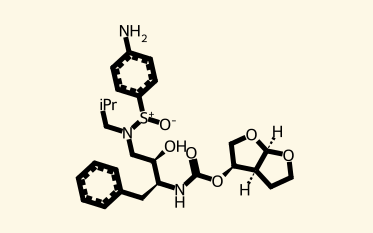 CC(C)CN(C[C@@H](O)[C@H](Cc1ccccc1)NC(=O)O[C@H]1CO[C@H]2OCC[C@H]21)[S+]([O-])c1ccc(N)cc1